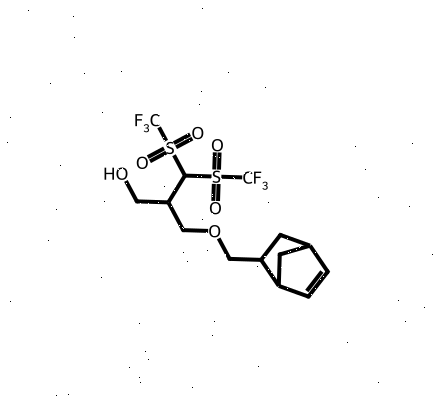 O=S(=O)(C(C(CO)COCC1CC2C=CC1C2)S(=O)(=O)C(F)(F)F)C(F)(F)F